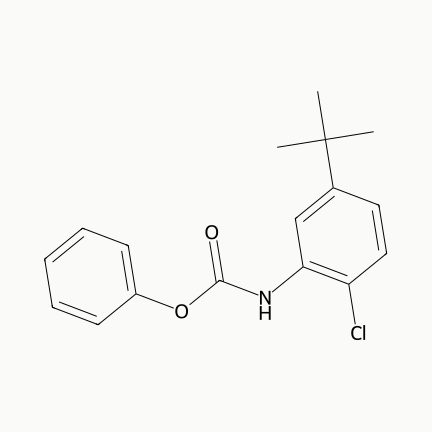 CC(C)(C)c1ccc(Cl)c(NC(=O)Oc2ccccc2)c1